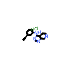 C#Cc1cccc(Nc2ncnc3cnccc23)c1.Cl